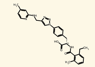 CCc1cccc(C)c1C(=O)N[C@@H](Cc1ccc(-n2cc(CNc3cc(C)ccn3)nn2)cc1)C(=O)O